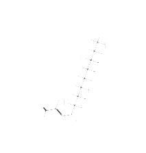 CC(=CC(C)C(F)(F)C(F)(F)C(F)(F)C(F)(F)C(F)(F)C(F)(F)C(F)(F)C(F)(F)F)C(=O)O